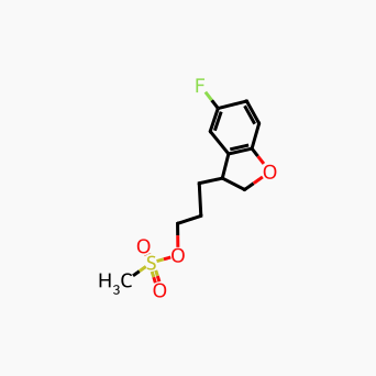 CS(=O)(=O)OCCCC1COc2ccc(F)cc21